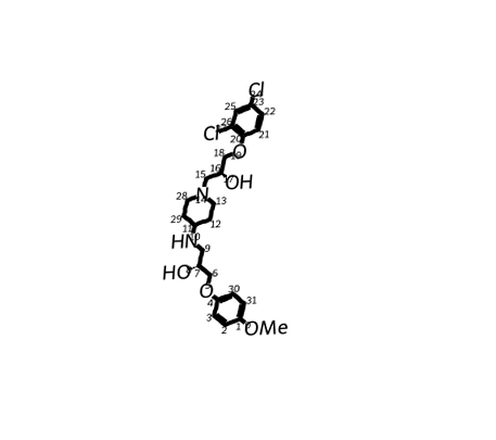 COc1ccc(OC[C@H](O)CNC2CCN(C[C@H](O)COc3ccc(Cl)cc3Cl)CC2)cc1